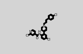 O=C(Nc1ccc(Cl)cc1C1=CCN(CC=Cc2ccc(Cl)cc2)CC1)c1ccnc(Cl)c1